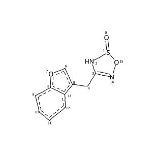 O=S1NC(Cc2coc3ccccc23)=NO1